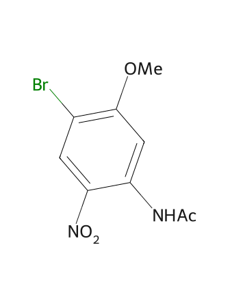 COc1cc(NC(C)=O)c([N+](=O)[O-])cc1Br